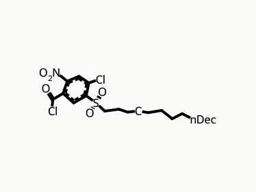 CCCCCCCCCCCCCCCCCCS(=O)(=O)c1cc(C(=O)Cl)c([N+](=O)[O-])cc1Cl